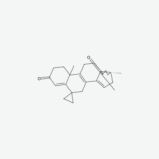 CC12CCC(=O)C=C1C1(CC1)CC1=C2CC[C@@]23C(=O)CC[C@]2(C)CC=C13